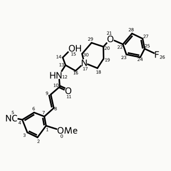 COc1ccc(C#N)cc1C=CC(=O)NC(CO)CN1CCC(Oc2ccc(F)cc2)CC1